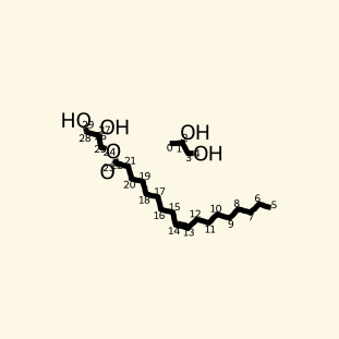 CC(O)CO.CCCCCCCC/C=C\CCCCCCCC(=O)OCC(O)CO